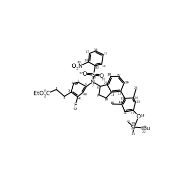 CCOC(=O)CCc1ccc(N(C2CCc3c(-c4c(C)cc(O[Si](C)(C)C(C)(C)C)cc4C)cccc32)S(=O)(=O)c2ccccc2[N+](=O)[O-])cc1F